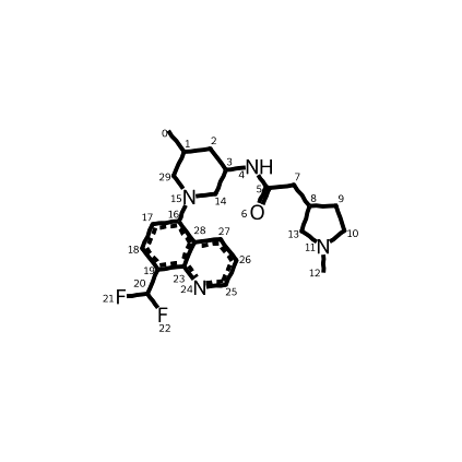 CC1CC(NC(=O)CC2CCN(C)C2)CN(c2ccc(C(F)F)c3ncccc23)C1